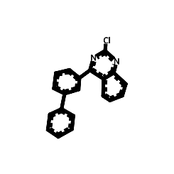 Clc1nc(-c2cccc(-c3ccccc3)c2)c2ccccc2n1